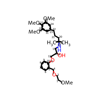 COCCOCc1ccccc1OCC(O)CNC(C)(C)CCCc1cc(OC)c(OC)c(OC)c1